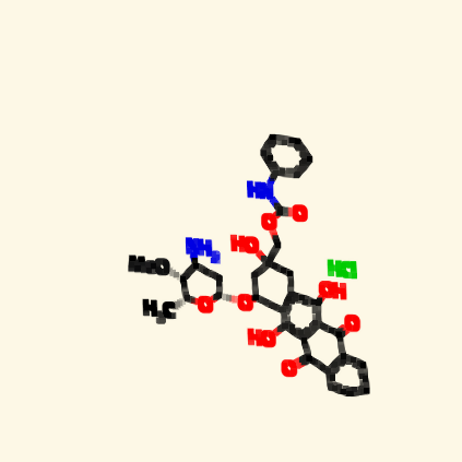 CO[C@@H]1[C@@H](N)C[C@H](O[C@H]2CC(O)(COC(=O)Nc3ccccc3)Cc3c(O)c4c(c(O)c32)C(=O)c2ccccc2C4=O)O[C@@H]1C.Cl